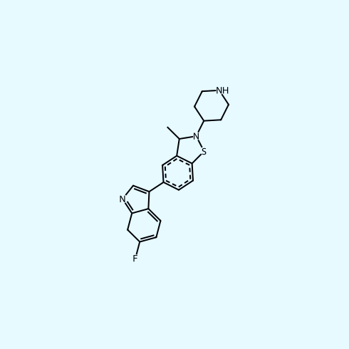 CC1c2cc(C3=CN=C4CC(F)=CC=C34)ccc2SN1C1CCNCC1